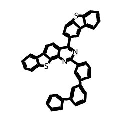 c1ccc(-c2cccc(-c3cccc(-c4nc(-c5ccc6sc7ccccc7c6c5)c5ccc6c7ccccc7sc6c5n4)c3)c2)cc1